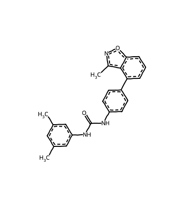 Cc1cc(C)cc(NC(=O)Nc2ccc(-c3cccc4onc(C)c34)cc2)c1